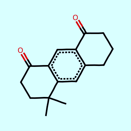 CC1(C)CCC(=O)c2cc3c(cc21)CCCC3=O